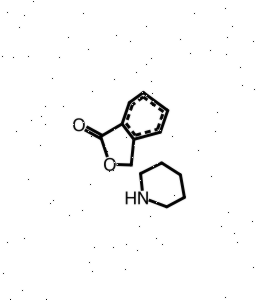 C1CCNCC1.O=C1OCc2ccccc21